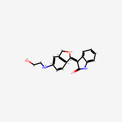 O=C1Nc2ccccc2C1=C1OCc2cc(NCCO)ccc21